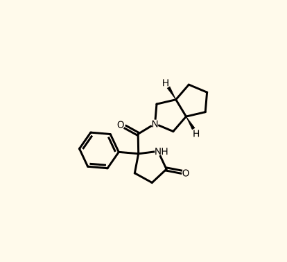 O=C1CCC(C(=O)N2C[C@H]3CCC[C@H]3C2)(c2ccccc2)N1